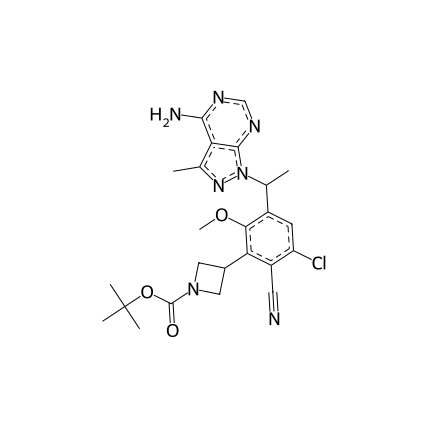 COc1c(C(C)n2nc(C)c3c(N)ncnc32)cc(Cl)c(C#N)c1C1CN(C(=O)OC(C)(C)C)C1